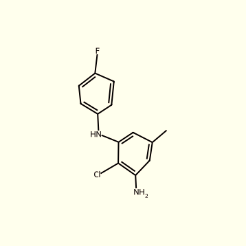 Cc1cc(N)c(Cl)c(Nc2ccc(F)cc2)c1